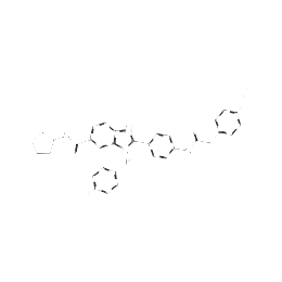 CCSc1ccc(CC(=O)Nc2ccc(-c3nc4ccc(C(=O)NC5CCCC5)cc4n3[C@H](C)c3ccc(C)cc3)cc2)cc1